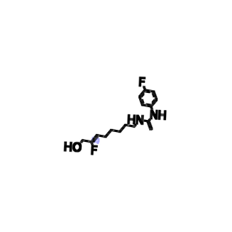 C=C(NCCCCC/C=C(\F)CO)Nc1ccc(F)cc1